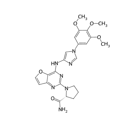 COc1cc(-n2cnc(Nc3nc(N4CCC[C@@H]4C(N)=O)nc4ccoc34)c2)cc(OC)c1OC